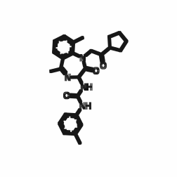 CC1=NC(NC(=O)Nc2cccc(C)c2)C(=O)N(CC(=O)C2CCCC2)c2c(C)cccc21